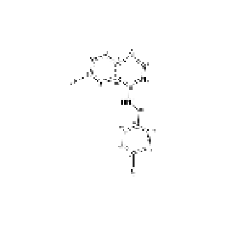 Fc1ccc2ncnc(NCc3ccc(Cl)cc3)c2c1